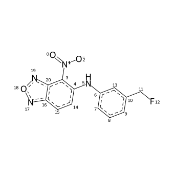 O=[N+]([O-])c1c(Nc2cccc(CF)c2)ccc2nonc12